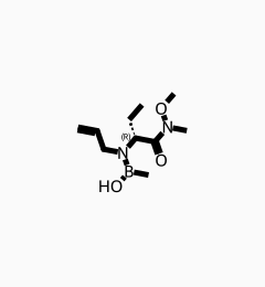 C=CCN(B(C)O)[C@H](CC)C(=O)N(C)OC